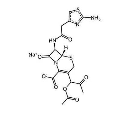 CC(=O)OC(C(C)=O)C1=C(C(=O)[O-])N2C(=O)[C@@H](NC(=O)Cc3csc(N)n3)[C@@H]2SC1.[Na+]